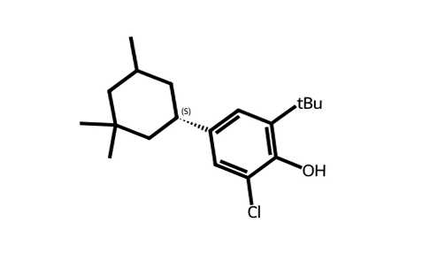 CC1C[C@H](c2cc(Cl)c(O)c(C(C)(C)C)c2)CC(C)(C)C1